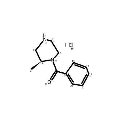 C[C@H]1CNCCN1C(=O)c1ccccc1.Cl